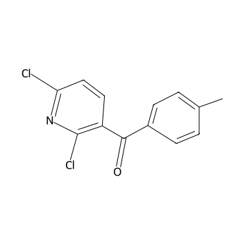 Cc1ccc(C(=O)c2ccc(Cl)nc2Cl)cc1